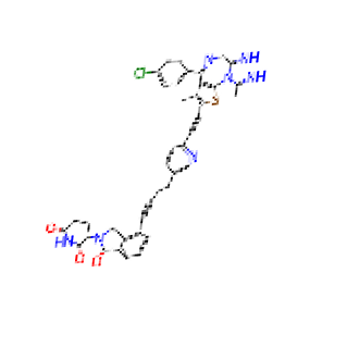 CC(=N)N1C(=N)CN=C(c2ccc(Cl)cc2)c2c1sc(C#Cc1ccc(CCC#Cc3cccc4c3CN(C3CCC(=O)NC3=O)C4=O)cn1)c2C